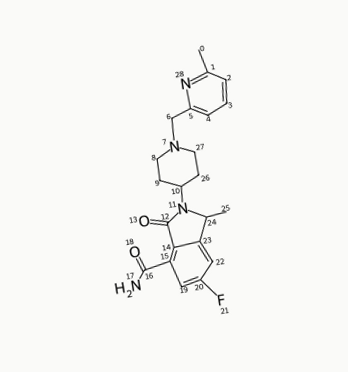 Cc1cccc(CN2CCC(N3C(=O)c4c(C(N)=O)cc(F)cc4C3C)CC2)n1